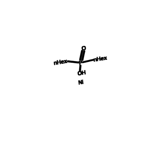 CCCCCCP(=O)(O)CCCCCC.[Ni]